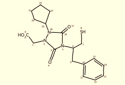 O=C(O)Cn1c(=O)n(C(CS)Cc2ccccc2)c(=O)n1C1CCCC1